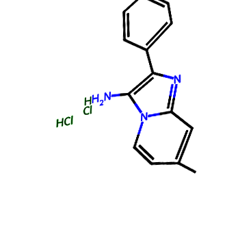 Cc1ccn2c(N)c(-c3ccccc3)nc2c1.Cl.Cl